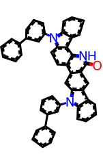 O=c1[nH]c2c(ccc3c2c2ccccc2n3-c2cccc(-c3ccccc3)c2)c2cc3c(cc12)c1ccccc1n3-c1cccc(-c2ccccc2)c1